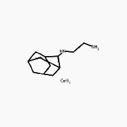 NCCNC1C2CC3CC(C2)CC1C3.[GeH4]